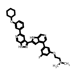 CN(C)CCOc1cc(F)cc(-c2cncc3[nH]c(-c4n[nH]c5cnc(-c6cccc(OC7CCCCC7)c6)cc45)cc23)c1